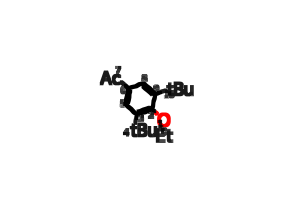 CCOc1c(C(C)(C)C)cc(C(C)=O)cc1C(C)(C)C